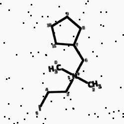 C[N+](C)(CCI)CC1CCCC1